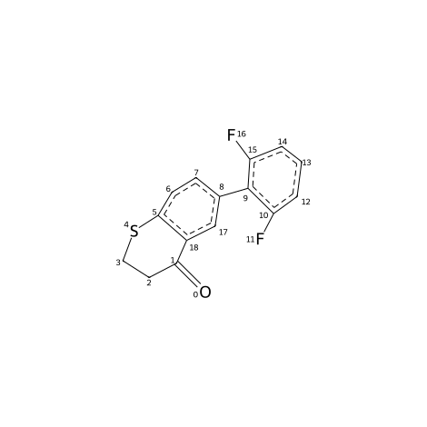 O=C1CCSc2ccc(-c3c(F)cccc3F)cc21